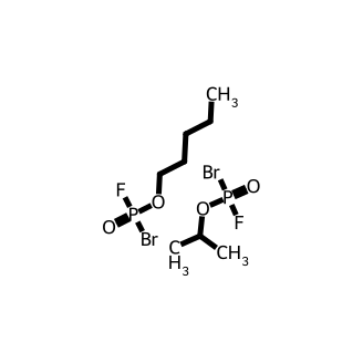 CC(C)OP(=O)(F)Br.CCCCCOP(=O)(F)Br